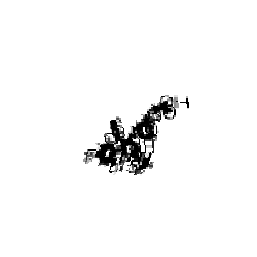 CCOC(=O)C1=C(CN2CCOC(COCC(=O)O)C2)NC(c2nccs2)=N[C@H]1c1ccc(F)cc1Cl